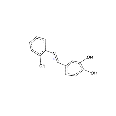 Oc1ccc(/C=N/c2ccccc2O)cc1O